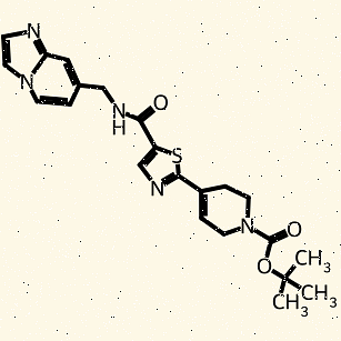 CC(C)(C)OC(=O)N1CC=C(c2ncc(C(=O)NCc3ccn4ccnc4c3)s2)CC1